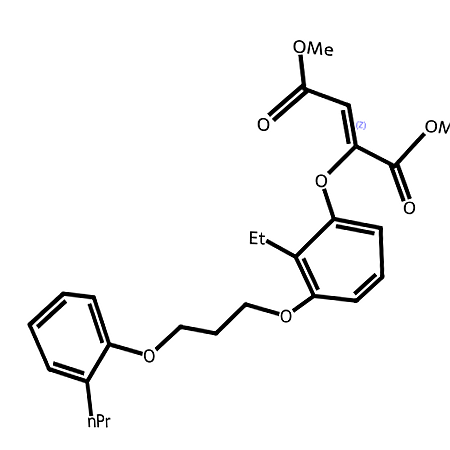 CCCc1ccccc1OCCCOc1cccc(O/C(=C\C(=O)OC)C(=O)OC)c1CC